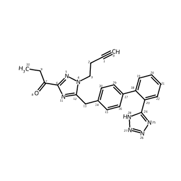 C#CCCn1nc(C(=O)CC)nc1Cc1ccc(-c2ccccc2-c2nnn[nH]2)cc1